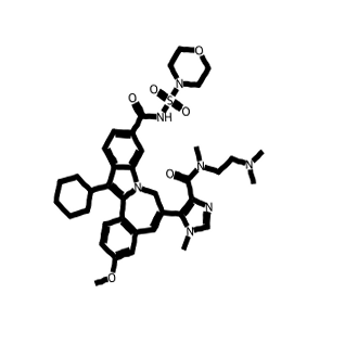 COc1ccc2c(c1)C=C(c1c(C(=O)N(C)CCN(C)C)ncn1C)Cn1c-2c(C2CCCCC2)c2ccc(C(=O)NS(=O)(=O)N3CCOCC3)cc21